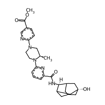 COC(=O)c1ccc(N2CCN(c3cccc(C(=O)N[C@H]4C5CC6CC4C[C@](O)(C6)C5)n3)[C@H](C)C2)nc1